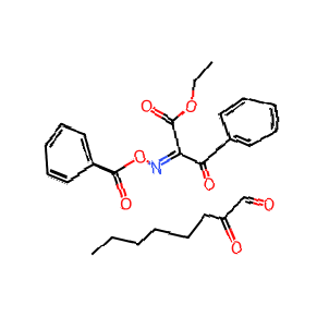 CCCCCCC(=O)C=O.CCOC(=O)C(=NOC(=O)c1ccccc1)C(=O)c1ccccc1